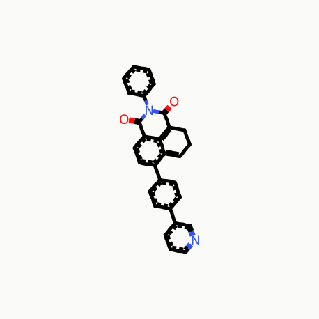 O=C1C2=c3c(ccc(-c4ccc(-c5cccnc5)cc4)c3=CCC2)C(=O)N1c1ccccc1